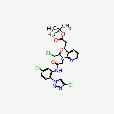 CC(C)(C)OC(=O)CCc1cccnc1N(CC(=O)Nc1cc(Cl)ccc1-n1cc(Cl)nn1)C(=O)CCl